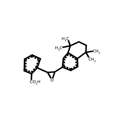 CC1(C)CCC(C)(C)c2cc(C3OC3c3ccccc3C(=O)O)ccc21